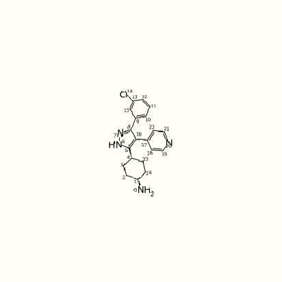 N[C@H]1CC[C@@H](c2[nH]nc(-c3cccc(Cl)c3)c2-c2ccncc2)CC1